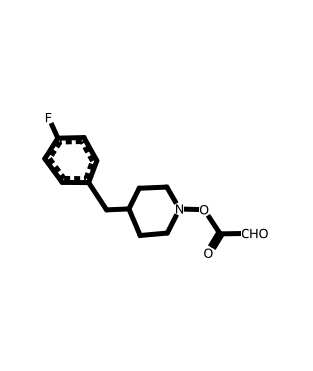 O=CC(=O)ON1CCC(Cc2ccc(F)cc2)CC1